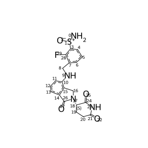 N[S+]([O-])c1cccc(CNc2cccc3c2CN([C@H]2CCC(=O)NC2=O)C3=O)c1F